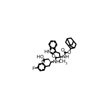 C[C@](Cc1c[nH]c2ccccc12)(NC(=O)OC1C2CC3CC(C2)CC1C3)C(=O)N[C@H](CC(=O)O)Cc1ccc(F)cc1